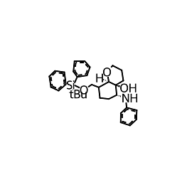 CC(C)(C)[Si](OCC1CC[C@@H](Nc2ccccc2)[C@@]2(O)CCCO[C@H]12)(c1ccccc1)c1ccccc1